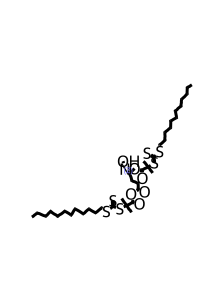 CCCCCCCCCCCCSC(=S)SC(C)(C)C(=O)OC(=O)CC/C(=N/O)OC(=O)C(C)(C)SC(=S)SCCCCCCCCCCCC